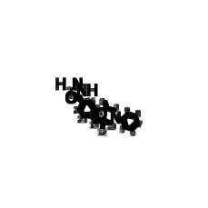 CC1CN(c2ccccc2)CC(C)(Cc2ccc(C(=O)NN)cc2)O1